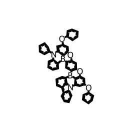 c1ccc(Oc2cc3c4c(c2)N(c2ccccc2)c2ccccc2B4c2cc4c(cc2O3)Oc2cc(Oc3ccccc3)cc3c2B4c2cccc4c5ccccc5n-3c24)cc1